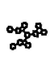 c1ccc(-c2ccc3c(c2)c2ccccc2n3-c2cc(-c3cnc4c5ccccc5c5ccccc5c4n3)cc(-n3c4ccccc4c4cc(-c5ccccc5)ccc43)c2)cc1